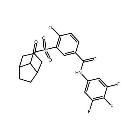 O=C1CC2CCC(C1)C2CS(=O)(=O)c1cc(C(=O)Nc2cc(F)c(F)c(F)c2)ccc1Cl